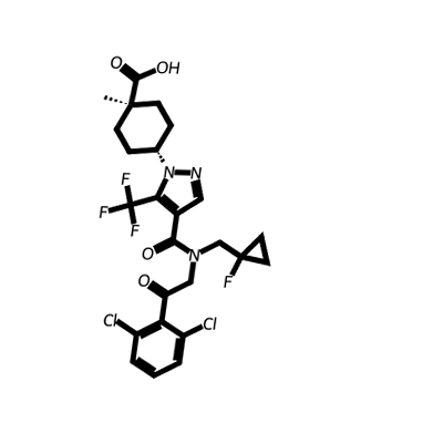 C[C@]1(C(=O)O)CC[C@H](n2ncc(C(=O)N(CC(=O)c3c(Cl)cccc3Cl)CC3(F)CC3)c2C(F)(F)F)CC1